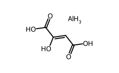 O=C(O)C=C(O)C(=O)O.[AlH3]